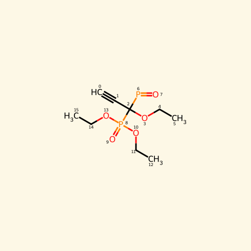 C#CC(OCC)(P=O)P(=O)(OCC)OCC